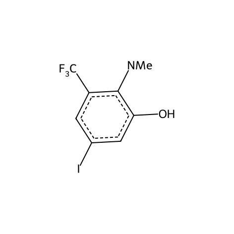 CNc1c(O)cc(I)cc1C(F)(F)F